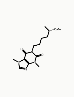 CO[C@@H](C)CCCCn1c(=O)c2c(ncn2C)n(C)c1=O